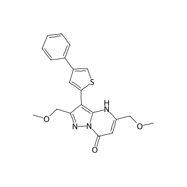 COCc1cc(=O)n2nc(COC)c(-c3cc(-c4ccccc4)cs3)c2[nH]1